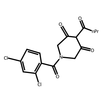 CCCC(=O)C1C(=O)CN(C(=O)c2ccc(Cl)cc2Cl)CC1=O